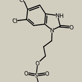 CS(=O)(=O)OCCCn1c(=O)[nH]c2cc(Cl)c(Cl)cc21